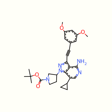 COc1cc(C#Cc2nn(C3CCN(C(=O)OC(C)(C)C)C3)c3c(C4CC4)cnc(N)c23)cc(OC)c1